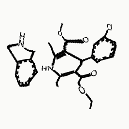 CCOC(=O)C1=C(C)NC(C)=C(C(=O)OC)C1c1cccc(Cl)c1.c1ccc2c(c1)CNC2